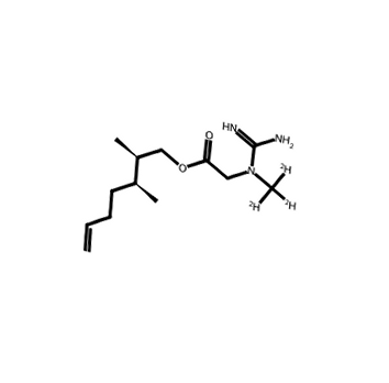 [2H]C([2H])([2H])N(CC(=O)OC[C@H](C)[C@@H](C)CCC=C)C(=N)N